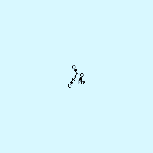 O=[B][Bi]=[O].[O]=[Pb]